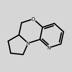 c1cnc2c(c1)OCC1CCCN21